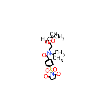 CC(C)N(CCC(=O)OC(C)(C)C)C(=O)c1ccc(S(=O)(=O)N2C(=O)CCC2=O)cc1